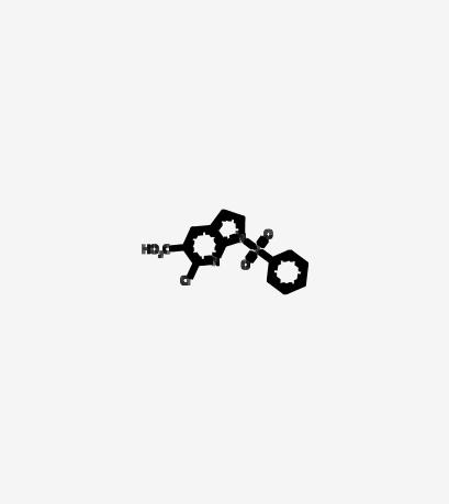 O=C(O)c1cc2ccn(S(=O)(=O)c3ccccc3)c2nc1Cl